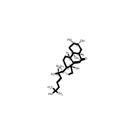 CC(C)(O)CCC[C@](C)(O)[C@H]1CC[C@@]2(O)C3=CC(=O)[C@@H]4C[C@@H](O)[C@@H](O)C[C@]4(C)[C@H]3CC[C@]12C